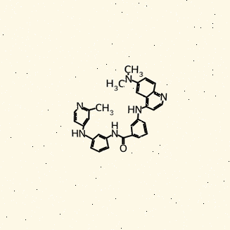 Cc1cc(Nc2cccc(NC(=O)c3cccc(Nc4ccnc5ccc(N(C)C)cc45)c3)c2)ccn1